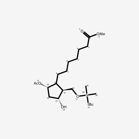 COC(=O)CCCCCCC1[C@@H](OC(C)=O)C[C@@H](O)[C@@H]1CO[Si](C)(C)C(C)(C)C